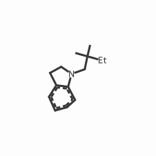 CCC(C)(C)CN1CCc2ccccc21